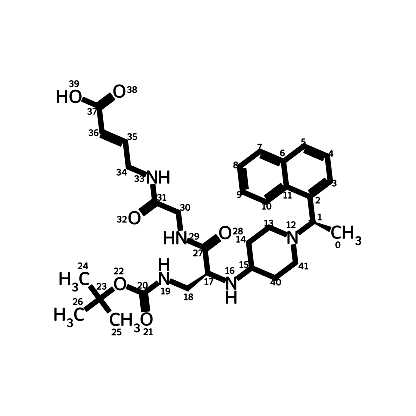 C[C@H](c1cccc2ccccc12)N1CCC(N[C@@H](CNC(=O)OC(C)(C)C)C(=O)NCC(=O)NC/C=C/C(=O)O)CC1